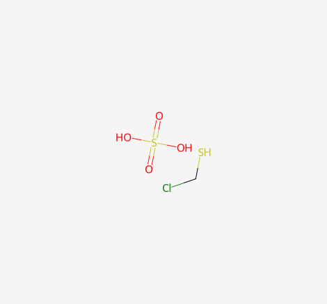 O=S(=O)(O)O.SCCl